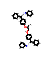 CC(C)C(COc1ccc(C(=C=Nc2ccccc2)c2ccccc2)cc1)Oc1ccc(C(=C=Nc2ccccc2)c2ccccc2)cc1